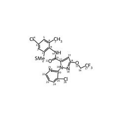 CSc1cc(Cl)cc(C)c1NC(=O)c1cc(OCC(F)(F)F)nn1-c1ncccc1Cl